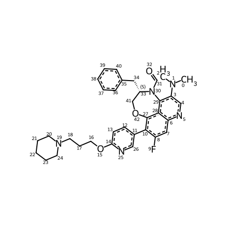 CN(C)c1cnc2cc(F)c(-c3ccc(OCCCN4CCCCC4)nc3)c3c2c1N(C=O)[C@@H](Cc1ccccc1)CO3